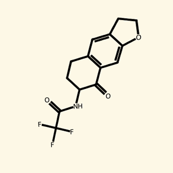 O=C1c2cc3c(cc2CCC1NC(=O)C(F)(F)F)CCO3